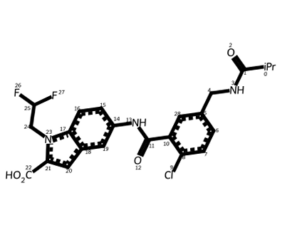 CC(C)C(=O)NCc1ccc(Cl)c(C(=O)Nc2ccc3c(c2)cc(C(=O)O)n3CC(F)F)c1